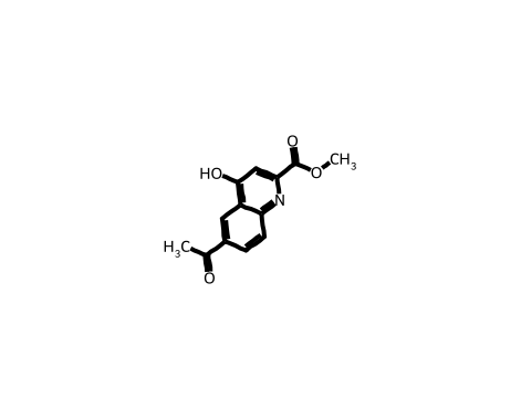 COC(=O)c1cc(O)c2cc(C(C)=O)ccc2n1